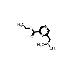 CCOC(=O)c1cncc(CN(C)C)n1